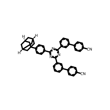 N#Cc1ccc(-c2cccc(-c3nc(-c4ccc(C56C[C@H]7C[C@@H](C5)C[C@@H](C6)C7)cc4)nc(-c4cccc(-c5ccc(C#N)cc5)c4)n3)c2)cc1